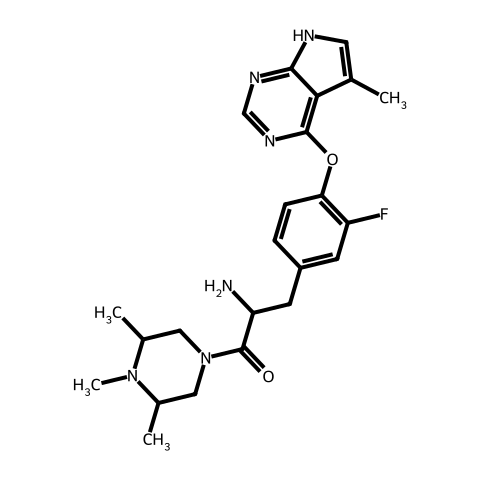 Cc1c[nH]c2ncnc(Oc3ccc(CC(N)C(=O)N4CC(C)N(C)C(C)C4)cc3F)c12